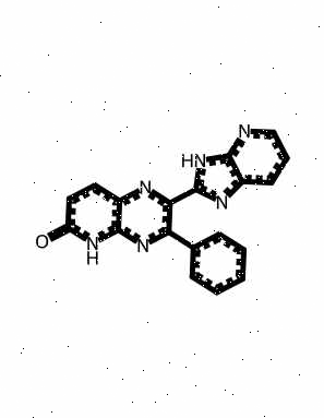 O=c1ccc2nc(-c3nc4cccnc4[nH]3)c(-c3ccccc3)nc2[nH]1